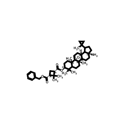 CC1(C2CC[C@]3(N)CC[C@]4(C)[C@H](CCC5[C@@]6(C)CC[C@H](OC(=O)[C@H]7C[C@@H](C(=O)OCc8ccccc8)C7(C)C)C(C)(C)C6CC[C@]54C)C23)CC1